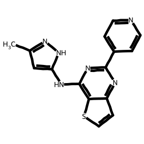 Cc1cc(Nc2nc(-c3ccncc3)nc3ccsc23)[nH]n1